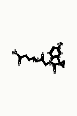 O=C(O)CCCNC(=O)CN1C(=O)C2(CC2)c2cc(Br)ccc21